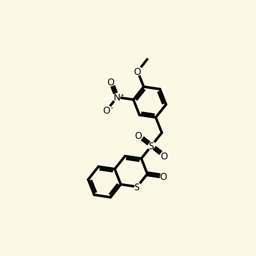 COc1ccc(CS(=O)(=O)c2cc3ccccc3sc2=O)cc1[N+](=O)[O-]